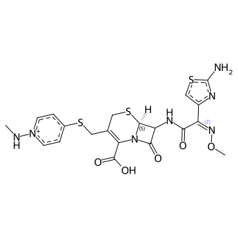 CN[n+]1ccc(SCC2=C(C(=O)O)N3C(=O)C(NC(=O)/C(=N\OC)c4csc(N)n4)[C@@H]3SC2)cc1